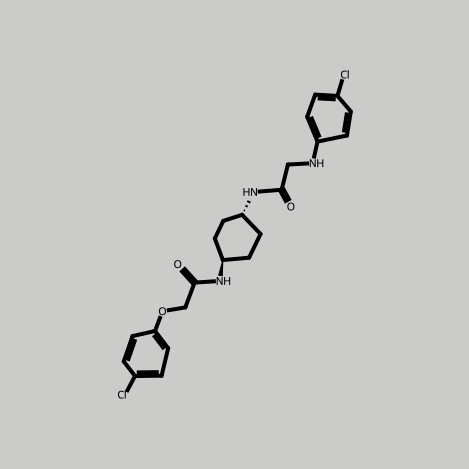 O=C(CNc1ccc(Cl)cc1)N[C@H]1CC[C@H](NC(=O)COc2ccc(Cl)cc2)CC1